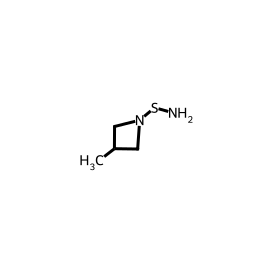 CC1CN(SN)C1